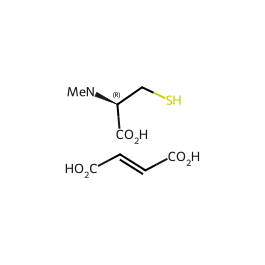 CN[C@@H](CS)C(=O)O.O=C(O)C=CC(=O)O